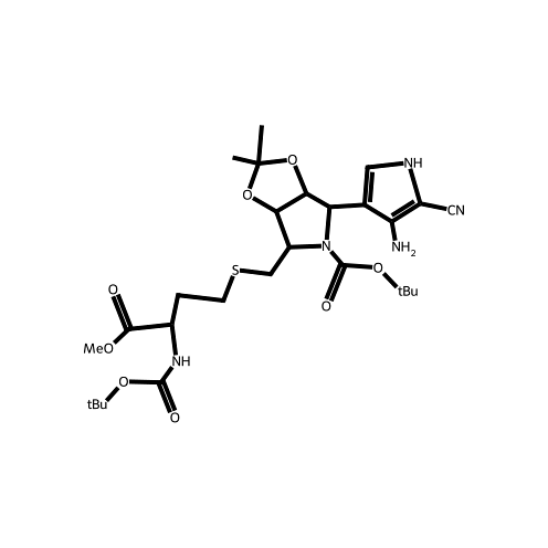 COC(=O)C(CCSCC1C2OC(C)(C)OC2C(c2c[nH]c(C#N)c2N)N1C(=O)OC(C)(C)C)NC(=O)OC(C)(C)C